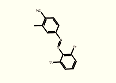 CCc1cccc(CC)c1N=Nc1ccc(O)c(C)c1